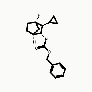 O=C(N[C@@H]1[C@H]2CC[C@H](C2)[C@H]1C1CC1)OCc1ccccc1